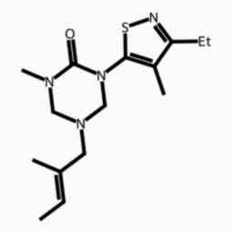 C/C=C(\C)CN1CN(C)C(=O)N(c2snc(CC)c2C)C1